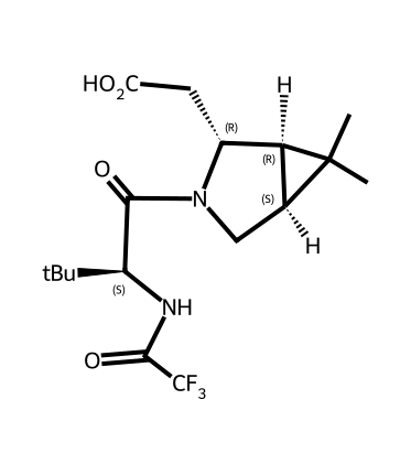 CC(C)(C)[C@H](NC(=O)C(F)(F)F)C(=O)N1C[C@H]2[C@@H]([C@H]1CC(=O)O)C2(C)C